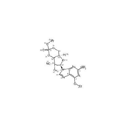 CCOc1nc(N)nc2c1ncn2[C@@H]1O[C@@H]2COP(=O)(OC(C)C)OC2[C@@]1(C)C#N